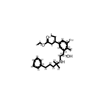 CCOC(=O)CC(CC)c1cc(F)c(F)c([C@H](O)CNC(C)(C)CCCc2ccccc2)c1